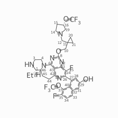 CC[C@@H]1NCCN2c3nc(OCC4(CN5CC[C@H](OC(F)(F)F)C5)CC4)nc4c(F)c(-c5cc(O)cc6ccc(F)c(OC(F)(F)F)c56)nc(c34)CC[C@H]12